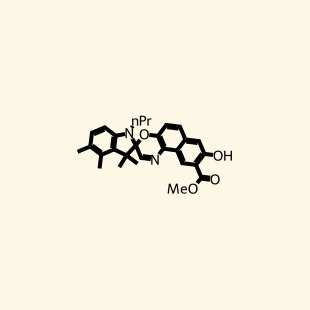 CCCN1c2ccc(C)c(C)c2C(C)(C)C12C=Nc1c(ccc3cc(O)c(C(=O)OC)cc13)O2